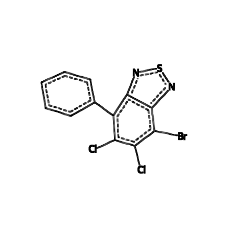 Clc1c(Cl)c(-c2ccccc2)c2nsnc2c1Br